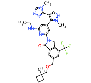 CCNc1cc(-c2c(-c3nncn3C)cnn2C)cc(N2Cc3c(cc(COCC4(C)CCC4)cc3C(F)(F)F)C2=O)n1